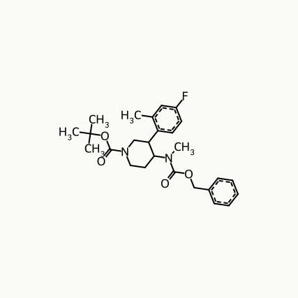 Cc1cc(F)ccc1C1CN(C(=O)OC(C)(C)C)CCC1N(C)C(=O)OCc1ccccc1